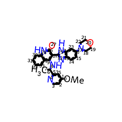 COc1ccnc(C(C)Nc2c(-c3nc4ccc(N5CCOCC5)cc4[nH]3)c(=O)[nH]c3ccccc23)c1